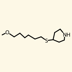 COCCCCCCSC1CCNCC1